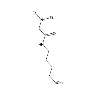 CCCCCCCCCCCCNC(=O)CN(CC)CC